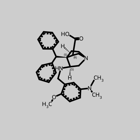 COc1ccc(N(C)C)cc1CN[C@@H]1CN2CC[C@]1(C(c1ccccc1)c1ccccc1)[C@@H](C(=O)O)C2